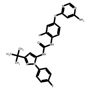 CC(C)(C)c1cc(NC(=O)Nc2ccc(Oc3cc(N)ncn3)cc2F)n(-c2ccc(F)cc2)n1